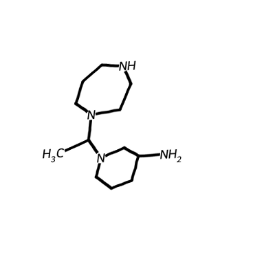 CC(N1CCCNCC1)N1CCCC(N)C1